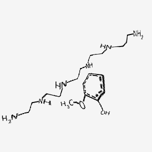 COc1ccccc1O.NCCNCCNCCNCCNCCN